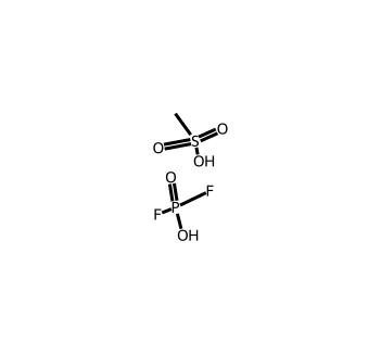 CS(=O)(=O)O.O=P(O)(F)F